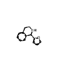 c1coc(C2NCCc3ccccc32)c1